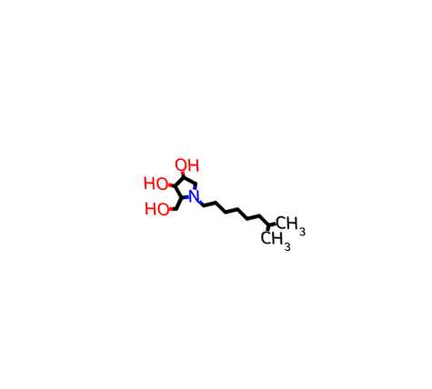 CC(C)CCCCCCN1CC(O)C(O)C1CO